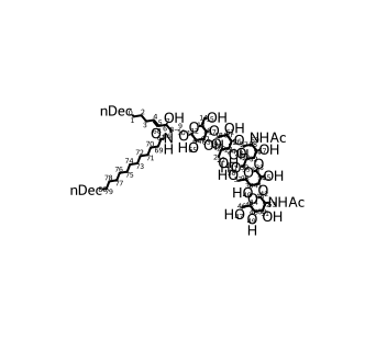 CCCCCCCCCCCCC/C=C/[C@@H](O)[C@H](CO[C@@H]1OC(CO)[C@@H](O[C@@H]2OC(CO)[C@H](O)[C@H](O[C@@H]3OC(CO)[C@@H](O[C@@H]4OC(CO)[C@H](O)[C@H](O[C@H]5OC(CO)[C@@H](O)[C@H](O)C5NC(C)=O)C4O)[C@H](O)C3NC(C)=O)C2O)[C@H](O)C1O)NC(=O)CCCCCCCCCCCCCCCCCCCCC